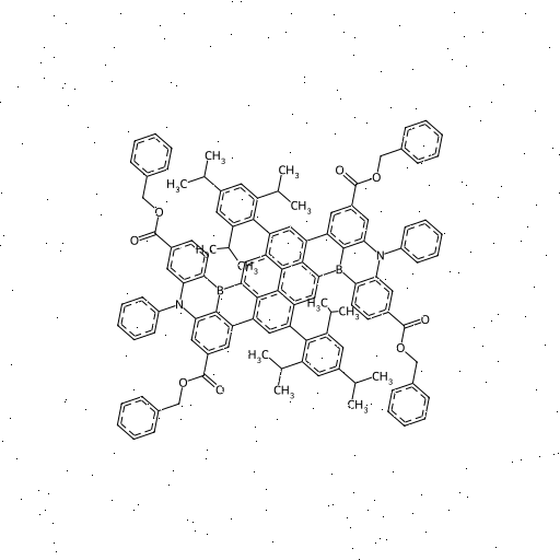 CC(C)c1cc(C(C)C)c(-c2cc3c4c(cc5c(-c6c(C(C)C)cc(C(C)C)cc6C(C)C)cc6c7c(cc2c4c57)B2c4ccc(C(=O)OCc5ccccc5)cc4N(c4ccccc4)c4cc(C(=O)OCc5ccccc5)cc-6c42)B2c4ccc(C(=O)OCc5ccccc5)cc4N(c4ccccc4)c4cc(C(=O)OCc5ccccc5)cc-3c42)c(C(C)C)c1